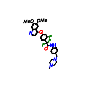 COc1cc2nccc(Oc3ccc(C(F)(F)C(=O)Nc4ccc(CN5CCN(C)CC5)cc4)c(F)c3)c2cc1OC